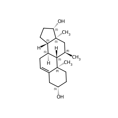 C[C@@H]1C[C@]2(C)[C@@H](O)CC[C@H]2[C@@H]2CC=C3C[C@@H](O)CC[C@]3(C)[C@H]21